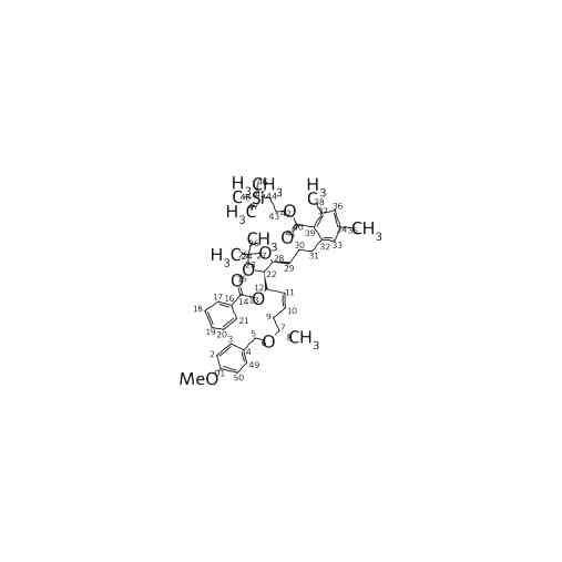 COc1ccc(CO[C@@H](C)C/C=C\C(OC(=O)c2ccccc2)[C@H]2OC(C)(C)O[C@H]2CCCc2cc(C)cc(C)c2C(=O)OCC[Si](C)(C)C)cc1